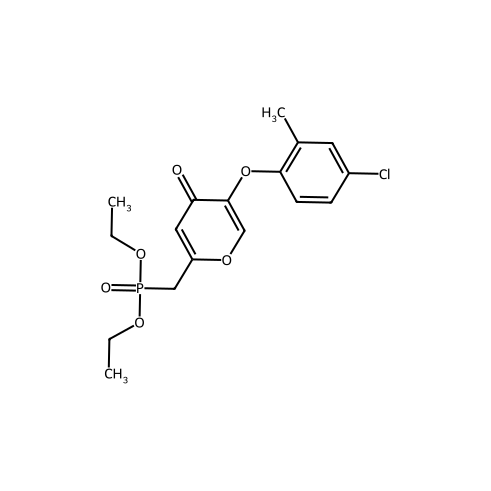 CCOP(=O)(Cc1cc(=O)c(Oc2ccc(Cl)cc2C)co1)OCC